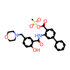 CS(=O)(=O)OC(=O)c1ccc(-c2ccccc2)cc1NC(=O)c1cc(CN2CCOCC2)ccc1O